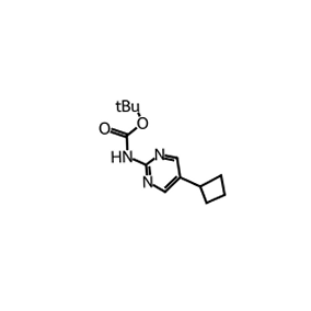 CC(C)(C)OC(=O)Nc1ncc(C2CCC2)cn1